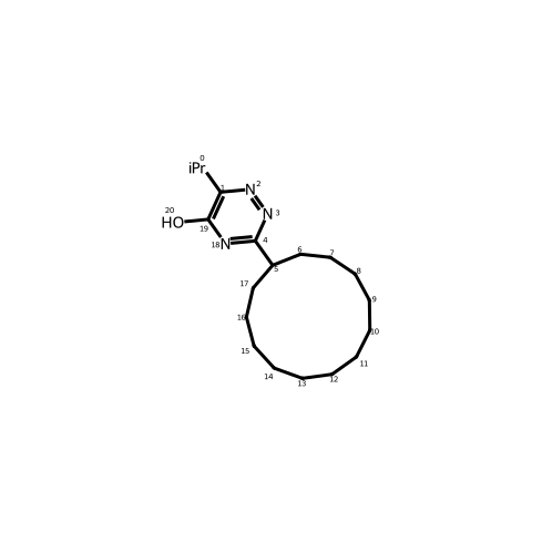 CC(C)c1nnc(C2CCCCCCCCCCCC2)nc1O